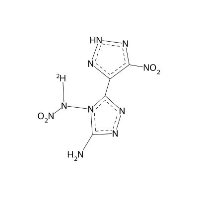 [2H]N(n1c(N)nnc1-c1n[nH]nc1[N+](=O)[O-])[N+](=O)[O-]